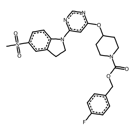 CS(=O)(=O)c1ccc2c(c1)CCN2c1cc(OC2CCN(C(=O)OCc3ccc(F)cc3)CC2)ncn1